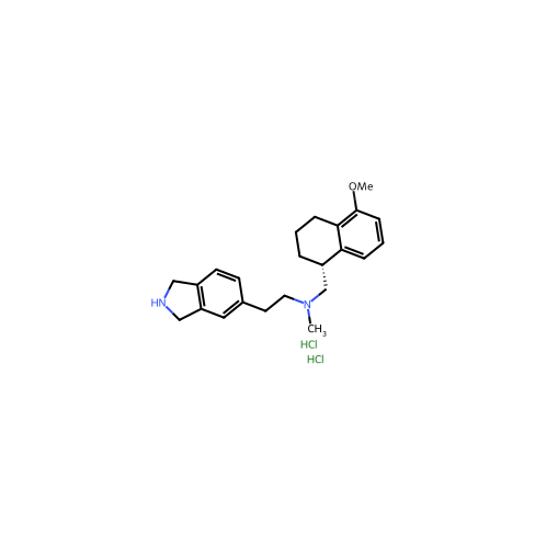 COc1cccc2c1CCC[C@H]2CN(C)CCc1ccc2c(c1)CNC2.Cl.Cl